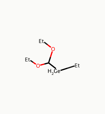 [CH2][CH2][GeH2][CH](OCC)OCC